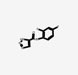 O=C(Nc1ccc(F)cc1F)c1cnn[nH]1